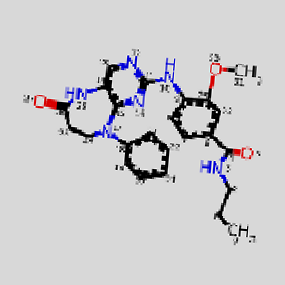 CCCNC(=O)c1ccc(Nc2ncc3c(n2)N(c2ccccc2)CCC(=O)N3)c(OC)c1